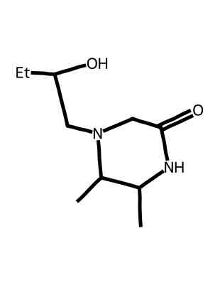 CCC(O)CN1CC(=O)NC(C)C1C